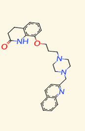 O=C1CCc2cccc(OCCCN3CCN(Cc4ccc5ccccc5n4)CC3)c2N1